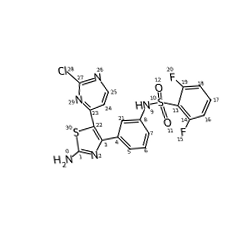 Nc1nc(-c2cccc(NS(=O)(=O)c3c(F)cccc3F)c2)c(-c2ccnc(Cl)n2)s1